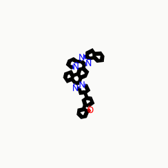 c1ccc(-c2nc3ccc4ccccc4c3nc2-c2ccc3c(c2)c2ccccc2c2nc4cc(-c5ccc6oc7ccccc7c6c5)ccn4c32)nc1